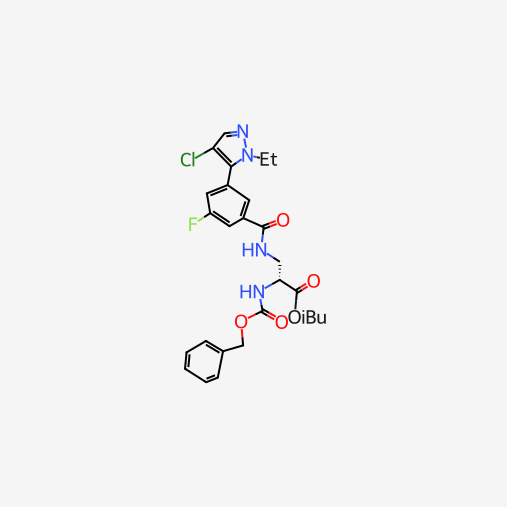 CCn1ncc(Cl)c1-c1cc(F)cc(C(=O)NC[C@@H](NC(=O)OCc2ccccc2)C(=O)OCC(C)C)c1